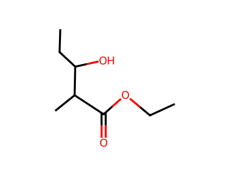 CCOC(=O)C(C)C(O)CC